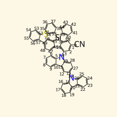 N#Cc1cc(-n2c3ccccc3c3cc(-n4c5ccccc5c5ccccc54)ccc32)cc([Si](c2ccccc2)(c2ccccc2)c2cccc3c2sc2ccccc23)c1